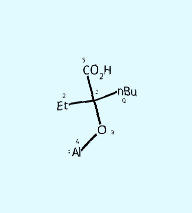 CCCCC(CC)([O][Al])C(=O)O